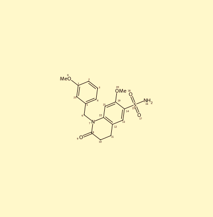 COc1cccc(CN2C(=O)CCc3cc(S(N)(=O)=O)c(OC)cc32)c1